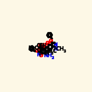 CN(C)c1ncc(OCc2ccccc2)c2c1C[C@H]1C[C@H]3[C@H](N)c4onc(OCc5ccccc5)c4C(=O)[C@@]3(O[Si](C)(C)C(C)(C)C)C(O)=C1C2=O